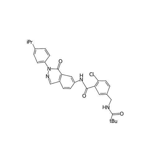 CC(C)c1ccc(-n2ncc3ccc(NC(=O)c4cc(CNC(=O)C(C)(C)C)ccc4Cl)cc3c2=O)cc1